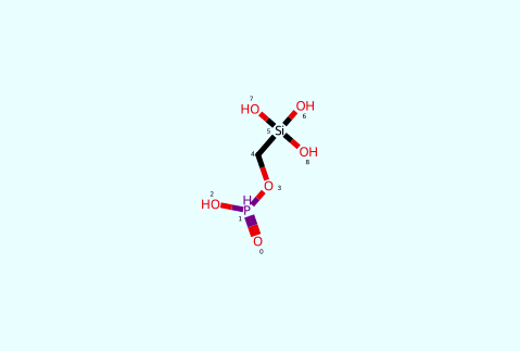 O=[PH](O)OC[Si](O)(O)O